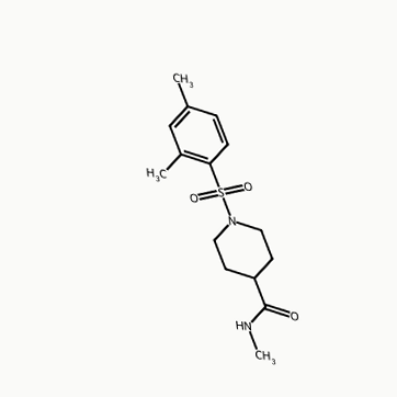 CNC(=O)C1CCN(S(=O)(=O)c2ccc(C)cc2C)CC1